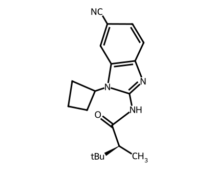 C[C@H](C(=O)Nc1nc2ccc(C#N)cc2n1C1CCC1)C(C)(C)C